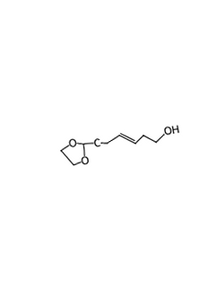 OCC/C=C/CCC1OCCO1